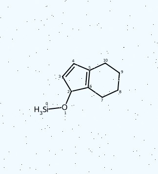 [SiH3]OC1[C]=CC2=C1CCCC2